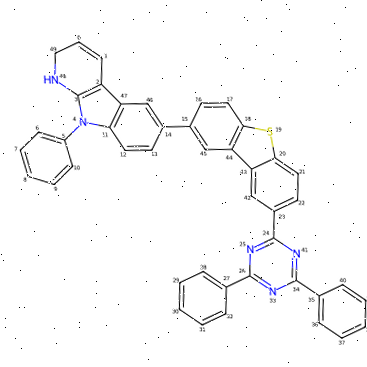 C1=Cc2c(n(-c3ccccc3)c3ccc(-c4ccc5sc6ccc(-c7nc(-c8ccccc8)nc(-c8ccccc8)n7)cc6c5c4)cc23)NC1